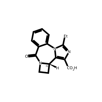 CCc1nc(C(=O)O)c2n1-c1ccccc1C(=O)N1CC[C@@H]21